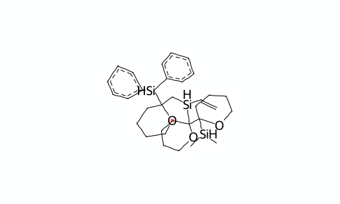 C=C[SiH](CC1([SiH](c2ccccc2)c2ccccc2)CCCCO1)C1(C2([SiH](C)C)CCCCO2)CCCCO1